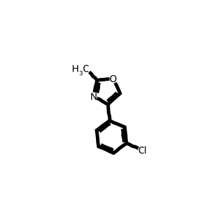 Cc1nc(-c2cccc(Cl)c2)co1